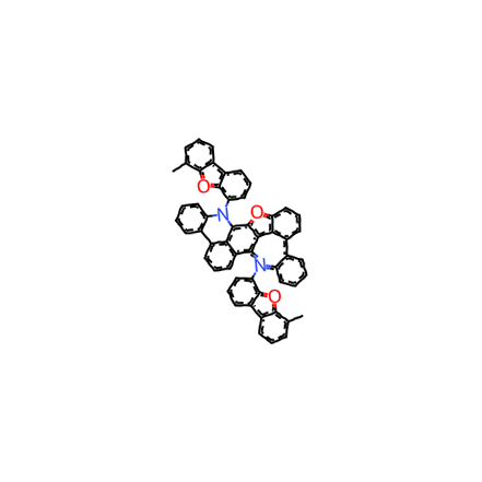 Cc1cccc2c1oc1c(N3c4ccccc4-c4cccc5c4c3c3oc4cccc6c7ccccc7n(-c7cccc8c7oc7c(C)cccc78)c5c3c46)cccc12